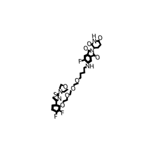 O=C1CCC(N2C(=O)c3cc(F)c(NCCCCOCCOCCOCCOc4c(-c5csc(N6CCOCC6)n5)ccc(F)c4F)cc3C2=O)C(=O)N1